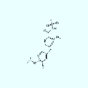 COc1cc(Oc2cnc(OC(C)C)c(Cl)c2)ccc1C(=O)NS(C)(=O)=O